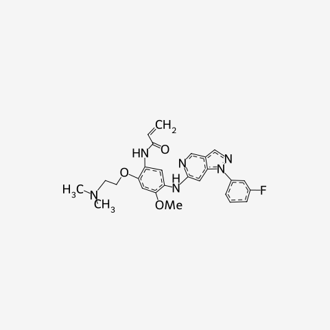 C=CC(=O)Nc1cc(Nc2cc3c(cn2)cnn3-c2cccc(F)c2)c(OC)cc1OCCN(C)C